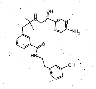 CC(C)(Cc1cccc(C(=O)NCCc2cccc(O)c2)c1)NC[C@@H](O)c1ccc(N)nc1